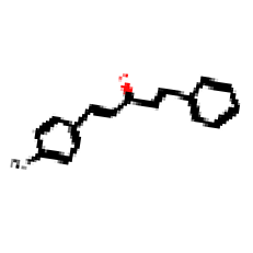 N#Cc1ccc(C=CC(=O)C=Cc2ccccc2)cc1